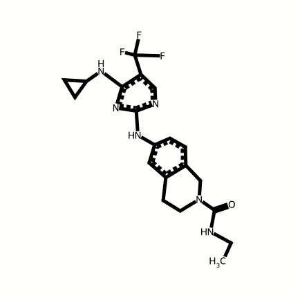 CCNC(=O)N1CCc2cc(Nc3ncc(C(F)(F)F)c(NC4CC4)n3)ccc2C1